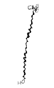 OCCCCCCCCCCCCCCCCCCCCCCCCCCCCCC[Si](Cl)(Cl)Cl